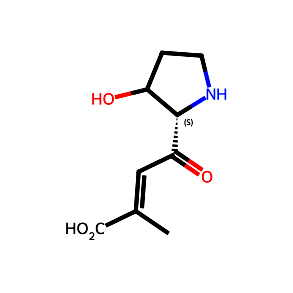 CC(=CC(=O)[C@H]1NCCC1O)C(=O)O